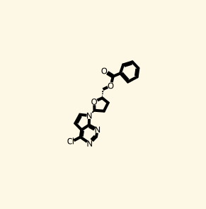 O=C(OC[C@@H]1CC[C@H](n2ccc3c(Cl)ncnc32)O1)c1ccccc1